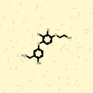 NCc1cc(Oc2ccc(OCCO)c(Cl)c2Cl)ccc1O